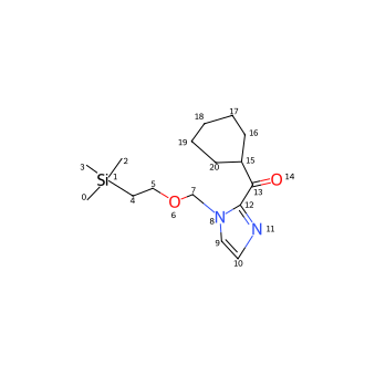 C[Si](C)(C)CCOCn1ccnc1C(=O)C1CCCCC1